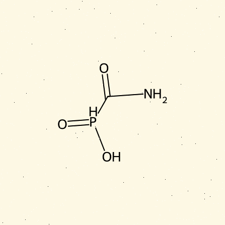 NC(=O)[PH](=O)O